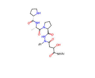 CC(=O)NC(=O)C(O)CC(=O)N(NC(=O)[C@@H]1CCCN1C(=O)[C@H](C)NC(=O)[C@@H]1CCCN1)C(C)C